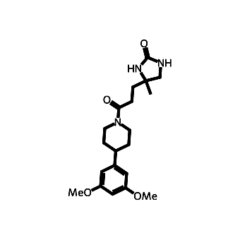 COc1cc(OC)cc(C2CCN(C(=O)CCC3(C)CNC(=O)N3)CC2)c1